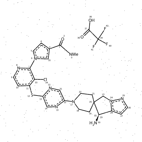 CNC(=O)c1ccn(-c2nccc(Sc3cnc(N4CCC5(CC4)Cn4nccc4[C@H]5N)cn3)c2Cl)c1.O=C(O)C(F)(F)F